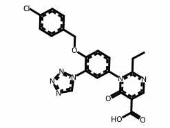 CCc1ncc(C(=O)O)c(=O)n1-c1ccc(OCc2ccc(Cl)cc2)c(-n2cnnn2)c1